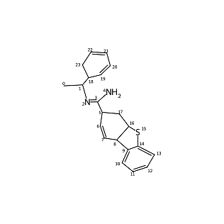 CC(/N=C(\N)C1C=CC2c3ccccc3SC2C1)C1C=CC=CC1